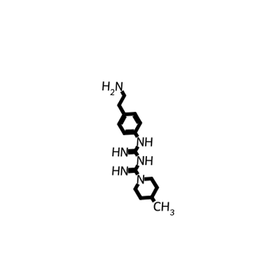 CC1CCN(C(=N)NC(=N)Nc2ccc(CCN)cc2)CC1